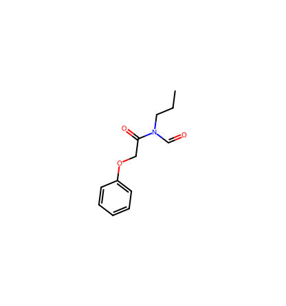 CCCN(C=O)C(=O)COc1ccccc1